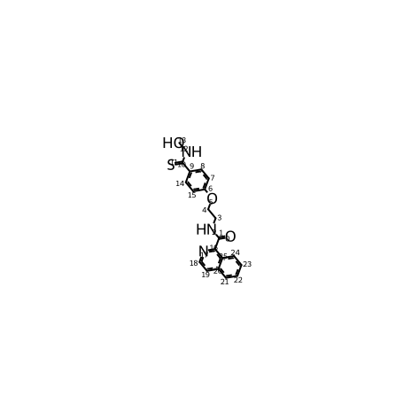 O=C(NCCOc1ccc(C(=S)NO)cc1)c1nccc2ccccc12